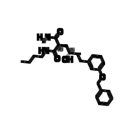 CCCCNC(=O)[C@H](C[C@@H](O)[CH]Cc1cccc(OCc2ccccc2)c1)C(N)=O